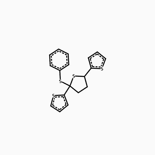 c1ccc(SC2(c3cccs3)CCC(c3cccs3)S2)cc1